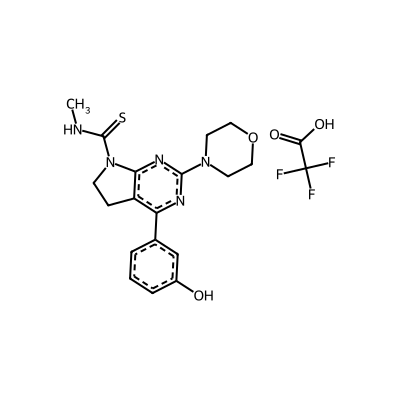 CNC(=S)N1CCc2c(-c3cccc(O)c3)nc(N3CCOCC3)nc21.O=C(O)C(F)(F)F